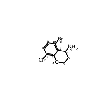 NC1CCOc2c(Cl)ccc(Br)c21